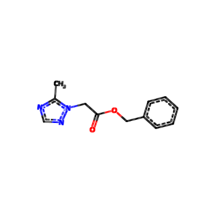 Cc1ncnn1CC(=O)OCc1ccccc1